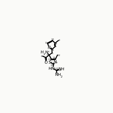 CC(=O)C(N)(Cc1cc(C)ccn1)c1sc(NC(=N)N)nc1C